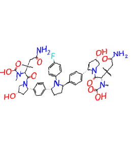 CN(C(=O)O)[C@H](C(=O)N1C[C@@H](O)C[C@H]1c1ccc([C@H]2CC[C@H](c3ccc([C@@H]4C[C@H](O)CN4C(=O)[C@@H](N(C)C(=O)O)C(C)(C)CC(N)=O)cc3)N2c2ccc(F)cc2)cc1)C(C)(C)CC(N)=O